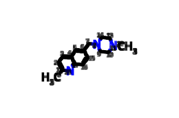 Cc1ccc2cc(CN3CCN(C)CC3)ccc2n1